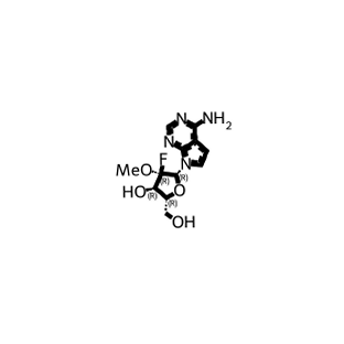 CO[C@@]1(F)[C@H](O)[C@@H](CO)O[C@H]1n1ccc2c(N)ncnc21